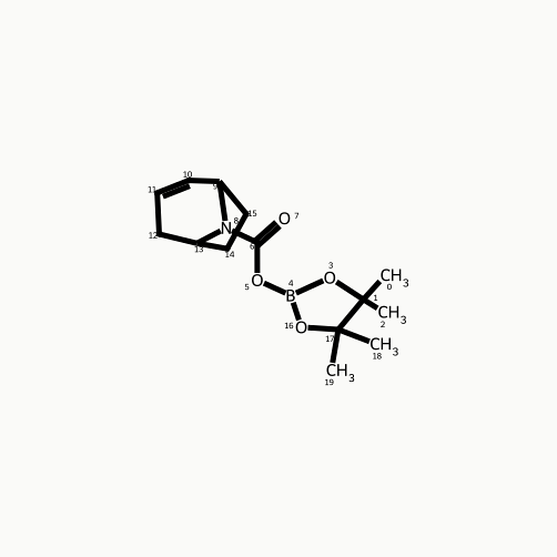 CC1(C)OB(OC(=O)N2C3C=CCC2CC3)OC1(C)C